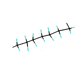 Cl.Cl.Cl.FC(F)(F)C(F)(F)C(F)(F)C(F)(F)C(F)(F)C(F)(F)C(F)(F)C(F)(F)[SiH3]